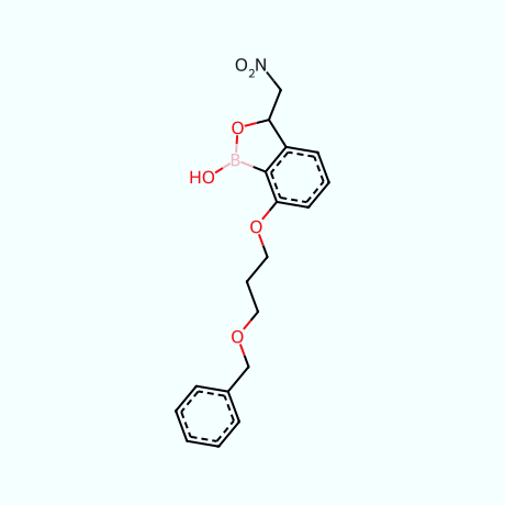 O=[N+]([O-])CC1OB(O)c2c(OCCCOCc3ccccc3)cccc21